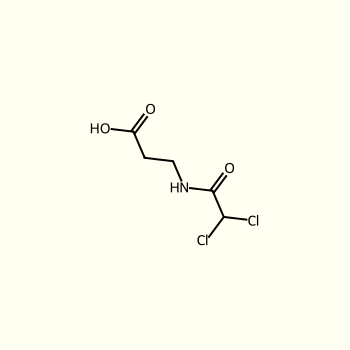 O=C(O)CCNC(=O)C(Cl)Cl